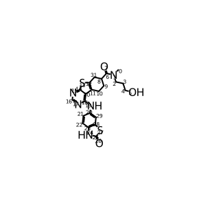 CN(CCCO)C(=O)C1CCc2c(sc3ncnc(Nc4ccc5[nH]c(=O)sc5c4)c23)C1